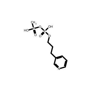 CP(=O)(O)OP(=O)(O)OCCCc1cccnc1